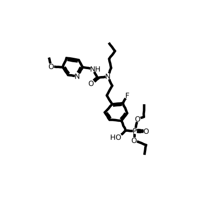 CCCCN(CCc1ccc(C(O)P(=O)(OCC)OCC)cc1F)C(=O)Nc1ccc(OC)cn1